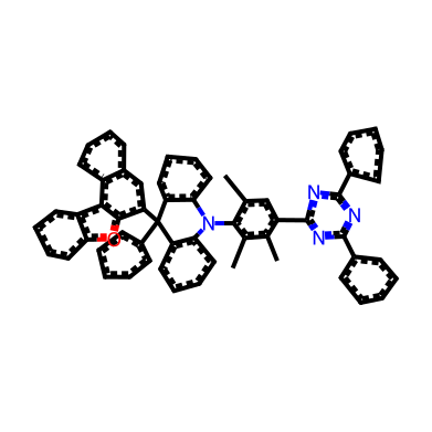 Cc1cc(-c2nc(-c3ccccc3)nc(-c3ccccc3)n2)c(C)c(C)c1N1c2ccccc2C(c2ccccc2)(c2cc3ccccc3c3c2oc2ccccc23)c2ccccc21